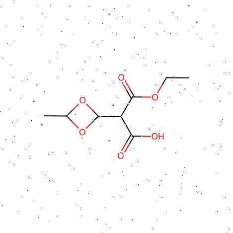 CCOC(=O)C(C(=O)O)C1OC(C)O1